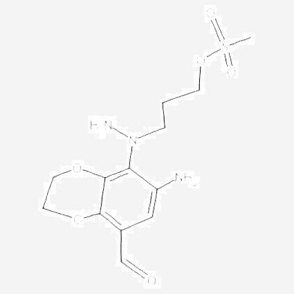 CS(=O)(=O)OCCCN(N)c1c(N)cc(C=O)c2c1OCCO2